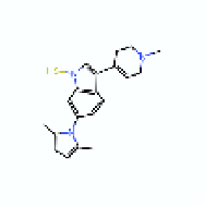 Cc1ccc(C)n1-c1ccc2c(C3=CCN(C)CC3)cn(S)c2c1